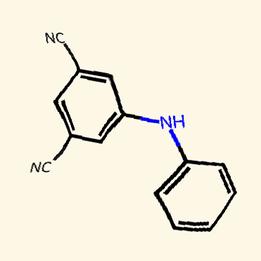 N#Cc1cc(C#N)cc(Nc2ccccc2)c1